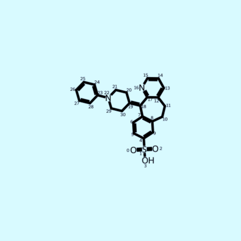 O=S(=O)(O)c1ccc2c(c1)CCc1cccnc1C2=C1CCN(c2ccccc2)CC1